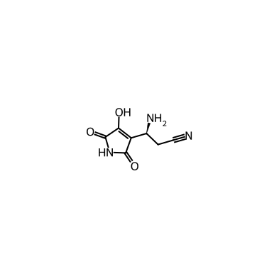 N#CC[C@H](N)C1=C(O)C(=O)NC1=O